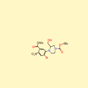 COC(=O)c1cc(N2CCN(C(=O)OC(C)(C)C)CC2CO)c(Br)cc1[N+](=O)[O-]